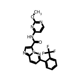 COc1nccc(NC(=O)c2cnc3ccc(-c4ccccc4C(F)(F)F)nn23)n1